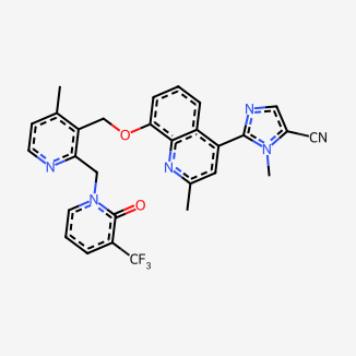 Cc1cc(-c2ncc(C#N)n2C)c2cccc(OCc3c(C)ccnc3Cn3cccc(C(F)(F)F)c3=O)c2n1